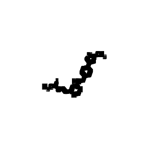 CC(I)OC=Cc1cc(NCc2ccc(-c3cnn(C)c3)cc2)ncn1